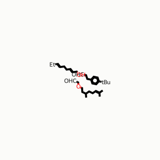 CC(C)(C)c1ccc(CCC=O)cc1.CC(C)=CCCC(C)CCOCC=O.CCC=CCCC=CCO